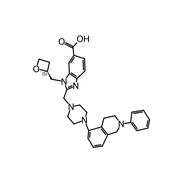 O=C(O)c1ccc2nc(CN3CCN(c4cccc5c4CCN(c4ccccc4)C5)CC3)n(C[C@@H]3CCO3)c2c1